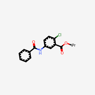 CC(C)OC(=O)c1cc(NC(=O)c2ccccc2)ccc1Cl